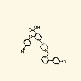 N#Cc1ccc(Oc2cc(N3CCN(Cc4ccccc4-c4ccc(Cl)cc4)CC3)ccc2C(=O)O)cc1